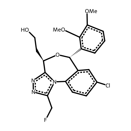 COc1cccc([C@H]2O[C@H](CCO)c3nnc(CF)n3-c3ccc(Cl)cc32)c1OC